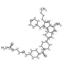 CCCCc1nc2c(N)nc3cc(C4CCN(C(=O)C5CCC(COCCOC(C)=O)CC5)CC4)sc3c2n1CC1CCOCC1